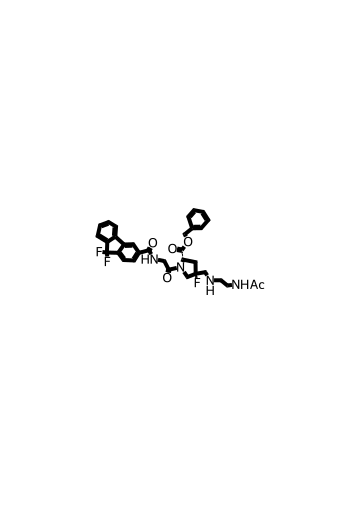 CC(=O)NCCNC[C@@]1(F)C[C@@H](C(=O)OCc2ccccc2)N(C(=O)CNC(=O)c2ccc3c(c2)-c2ccccc2C3(F)F)C1